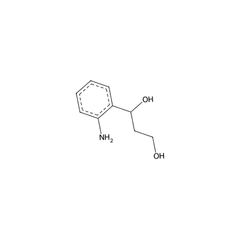 Nc1ccccc1C(O)CCO